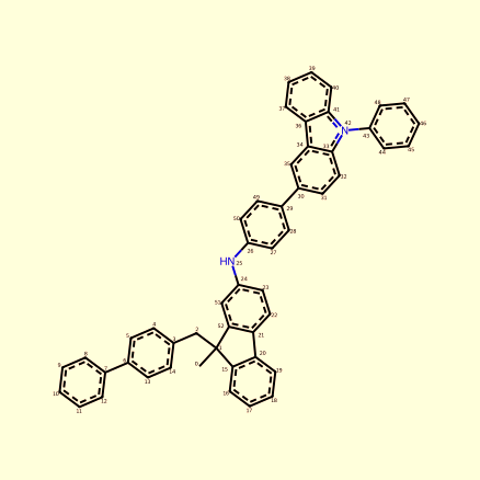 CC1(Cc2ccc(-c3ccccc3)cc2)c2ccccc2-c2ccc(Nc3ccc(-c4ccc5c(c4)c4ccccc4n5-c4ccccc4)cc3)cc21